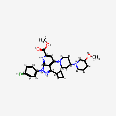 COC(=O)c1cc(N2CCC(N3CCCC(OC)C3)CC2)c2c(C3CCC3)nn(-c3ccc(F)cc3)c2n1